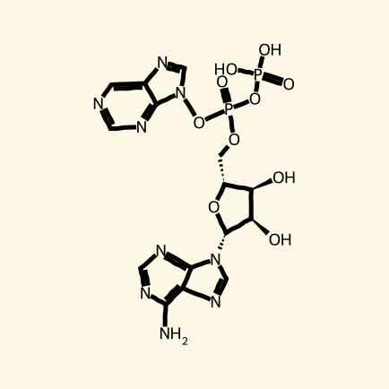 Nc1ncnc2c1ncn2[C@@H]1O[C@H](COP(=O)(On2cnc3cncnc32)OP(=O)(O)O)[C@@H](O)[C@H]1O